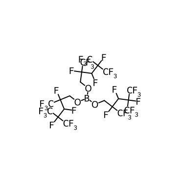 FC(C(F)(COB(OCC(F)(C(F)C(F)(C(F)(F)F)C(F)(F)F)C(F)(F)F)OCC(F)(C(F)C(F)(C(F)(F)F)C(F)(F)F)C(F)(F)F)C(F)(F)F)C(F)(C(F)(F)F)C(F)(F)F